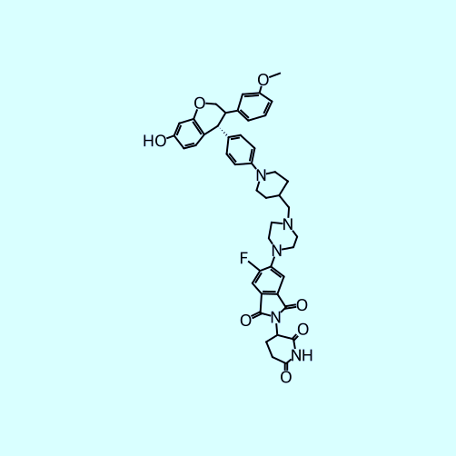 COc1cccc(C2COc3cc(O)ccc3[C@H]2c2ccc(N3CCC(CN4CCN(c5cc6c(cc5F)C(=O)N(C5CCC(=O)NC5=O)C6=O)CC4)CC3)cc2)c1